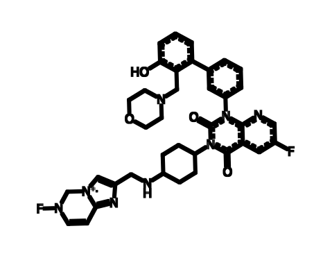 O=c1c2cc(F)cnc2n(-c2cccc(-c3cccc(O)c3CN3CCOCC3)c2)c(=O)n1C1CCC(NCC2=C[N+]3CN(F)C=CC3=N2)CC1